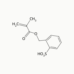 C=C(C)C(=O)OCc1ccccc1S(=O)(=O)O